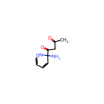 CC(=O)CC(=O)C1(N)C=CC=CN1